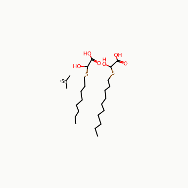 CCCCCCCCCCSC(O)C(=O)O.CCCCCCCCSC(O)C(=O)O.[CH3][Sn][CH3]